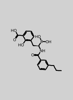 CCCc1cccc(C(=O)N[C@@H](Cc2cccc(C(=O)O)c2O)B(O)O)c1